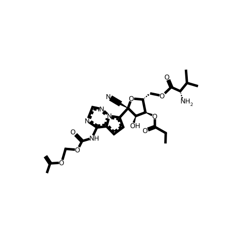 C=C(C)OCOC(=O)Nc1ncnn2c([C@]3(C#N)O[C@H](COC(=O)[C@@H](N)C(C)C)[C@@H](OC(=O)CC)[C@H]3O)ccc12